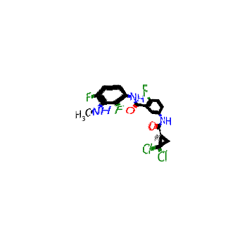 CNc1c(F)ccc(NC(=O)c2cc(NC(=O)[C@H]3CC3(Cl)Cl)ccc2F)c1F